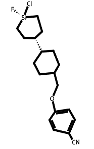 N#Cc1ccc(OCC2CCC([C@H]3CC[Si@](F)(Cl)CC3)CC2)cc1